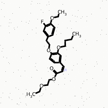 CCCCOc1cc(/C=C\C(=O)OCCOCC)ccc1OCCc1ccc(OCC)c(F)c1